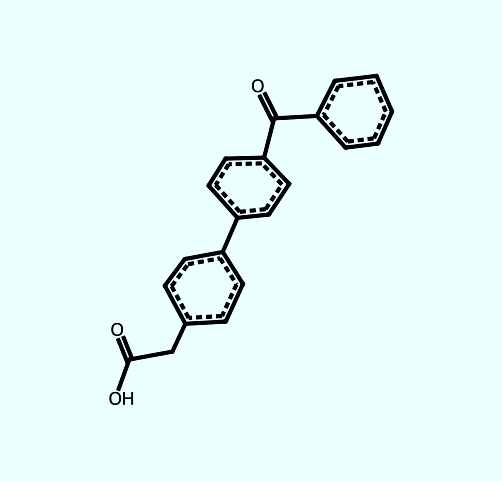 O=C(O)Cc1ccc(-c2ccc(C(=O)c3ccccc3)cc2)cc1